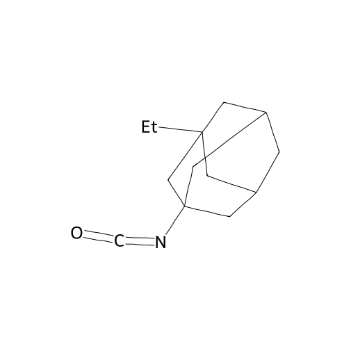 CCC12CC3CC(C1)CC(N=C=O)(C3)C2